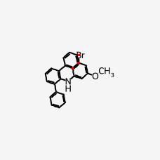 COc1cc(Br)cc(Nc2c(-c3ccccc3)cccc2-c2ccccc2)c1